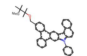 COC(C)(C)C(C)(C)OCc1ccc2c(c1)c1ccccc1c1cc3c(cc21)c1c2ccccc2ccc1n3-c1ccccc1